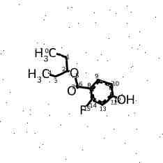 CCC(CC)OC(=O)c1ccc(O)cc1F